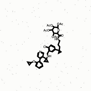 CC(=O)OC1OC(C(=O)NCCCC2(c3ccc(Cl)c(CNC4(c5cnccc5-c5ccccc5OC5CC5)CC4)c3)CC2)C(OC(C)=O)C(OC(C)=O)C1OC(C)=O